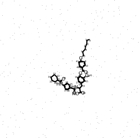 CCCCCCCOc1ccc(C(=O)Oc2ccc(CC(NC(=O)c3ccc(NC(=O)C4CCCCC4)cc3)C(=O)O)cc2OC)cc1